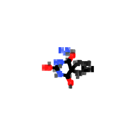 CCCC(C)C1(CC)C(=O)N=C(O)NC1=O.N.[NaH]